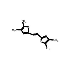 Cc1cc(/C=C/c2cc(C)c(C)s2)sc1C